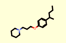 CCCC(C)c1ccc(OCCCN2CCCCC2)cc1